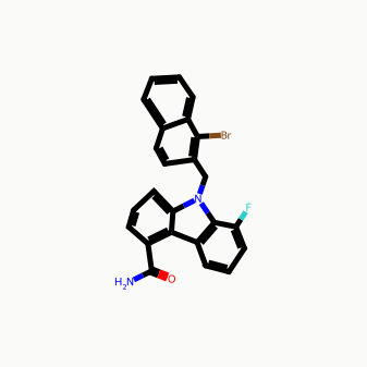 NC(=O)c1cccc2c1c1[c]ccc(F)c1n2Cc1ccc2ccccc2c1Br